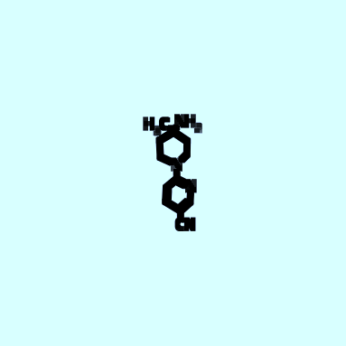 CC1(N)CCN(c2ccc(C#N)cn2)CC1